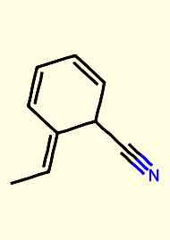 CC=C1C=CC=CC1C#N